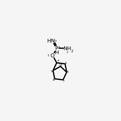 N=[PH](N)OC1CC2CCC1C2